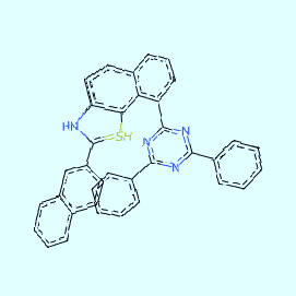 c1ccc(-c2nc(-c3ccccc3)nc(-c3cccc4ccc5c(c34)[SH]=C(c3ccc4ccccc4c3)N5)n2)cc1